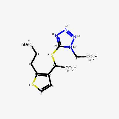 CCCCCCCCCCCCc1sccc1C(Sc1nnnn1CC(=O)O)C(=O)O